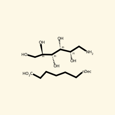 CCCCCCCCCCCCCCCC(=O)O.NC[C@H](O)[C@@H](O)[C@H](O)[C@H](O)CO